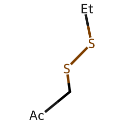 CCSSCC(C)=O